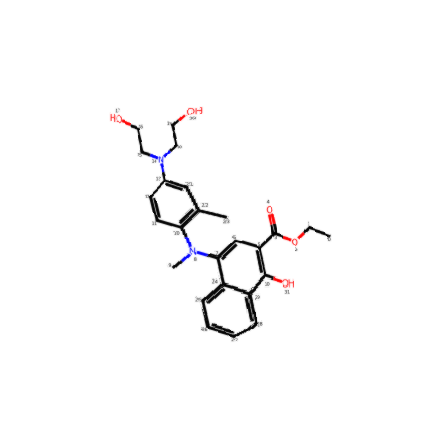 CCOC(=O)c1cc(N(C)c2ccc(N(CCO)CCO)cc2C)c2ccccc2c1O